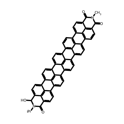 CC(C)N1C(=O)c2ccc3c4ccc5c6ccc7c8ccc9c%10ccc%11c%12c(ccc(c%13ccc(c%14ccc(c%15ccc(c%16ccc(c2c3%16)C1O)c4c5%15)c6c7%14)c8c9%13)c%12%10)C(=O)N(C)C%11=O